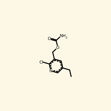 CCc1cnc(Cl)c(COC(N)=O)c1